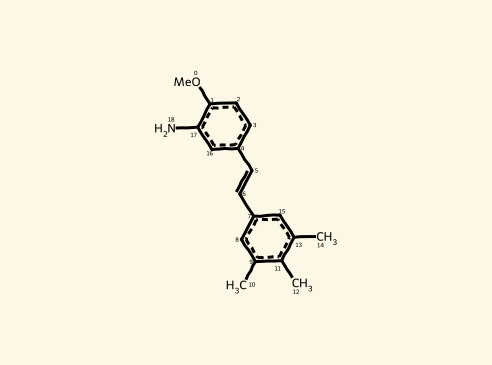 COc1ccc(/C=C/c2cc(C)c(C)c(C)c2)cc1N